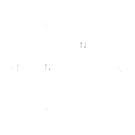 CCCn1c(=S)[nH]c2sccc2c1=O